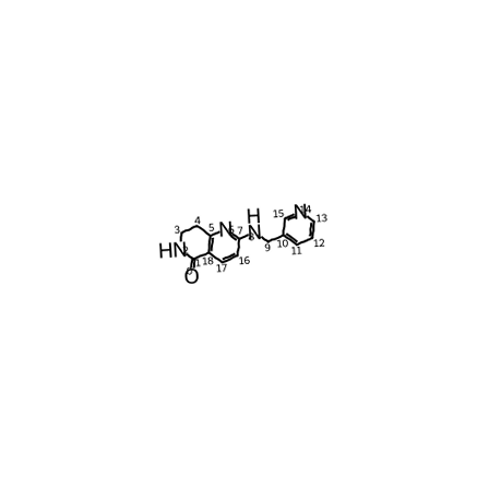 O=C1NCCc2nc(NCc3cccnc3)ccc21